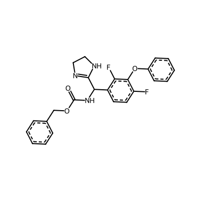 O=C(NC(C1=NCCN1)c1ccc(F)c(Oc2ccccc2)c1F)OCc1ccccc1